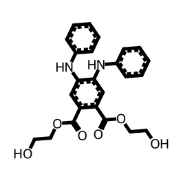 O=C(OCCO)c1cc(Nc2ccccc2)c(Nc2ccccc2)cc1C(=O)OCCO